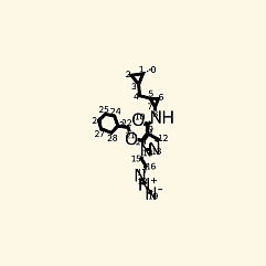 C[C@H]1CC1CC1CC1NC(=O)c1cnn(CCN=[N+]=[N-])c1OCC1CCCCC1